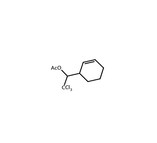 CC(=O)OC(C1C=CCCC1)C(Cl)(Cl)Cl